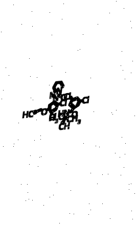 C#CC(C)(C)NC(=O)c1cc(Cl)cc(Cl)c1.C#CCOc1cc(-n2nc3n(c2=O)CCCC3)c(Cl)cc1Cl